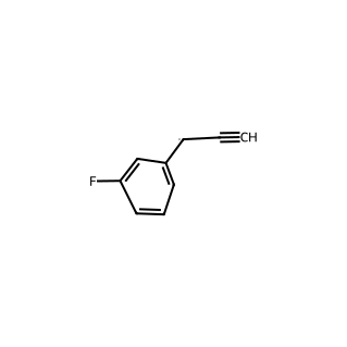 C#C[CH]c1cccc(F)c1